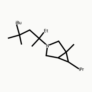 CCC(C)C(C)(C)CC(C)(CC)N1CC2C(C(C)C)C2(C)C1